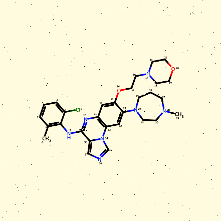 Cc1cccc(Cl)c1Nc1nc2cc(OCCN3CCOCC3)c(N3CCCN(C)CC3)cc2n2cncc12